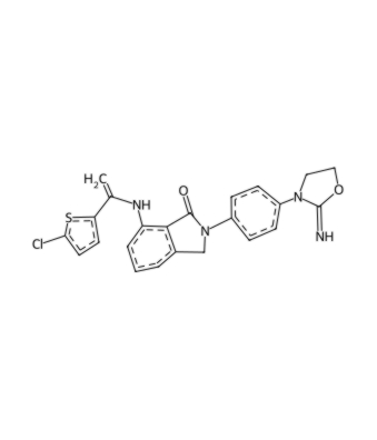 C=C(Nc1cccc2c1C(=O)N(c1ccc(N3CCOC3=N)cc1)C2)c1ccc(Cl)s1